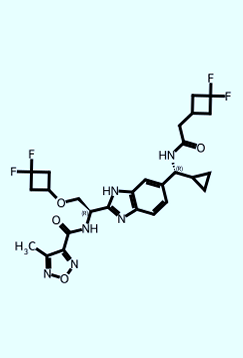 Cc1nonc1C(=O)N[C@@H](COC1CC(F)(F)C1)c1nc2ccc([C@H](NC(=O)CC3CC(F)(F)C3)C3CC3)cc2[nH]1